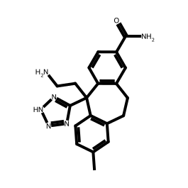 Cc1ccc2c(c1)CCc1cc(C(N)=O)ccc1C2(CCN)c1nn[nH]n1